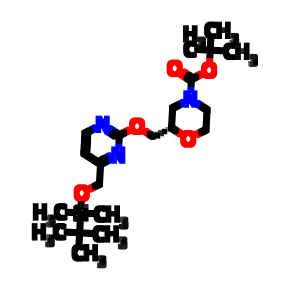 CC(C)(C)OC(=O)N1CCO[C@H](COc2nccc(CO[Si](C)(C)C(C)(C)C)n2)C1